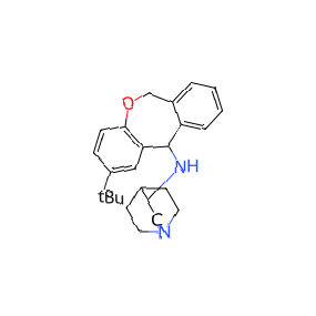 CC(C)(C)c1ccc2c(c1)C(NC1CN3CCC1CC3)c1ccccc1CO2